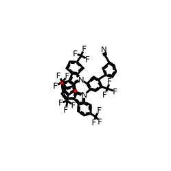 N#Cc1cccc(-c2cc(-n3c4cc(C(F)(F)F)ccc4c4ccc(C(F)(F)F)cc43)c(-n3c4cc(C(F)(F)F)ccc4c4ccc(C(F)(F)F)cc43)cc2C(F)(F)F)c1